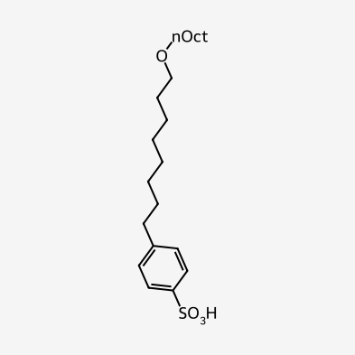 CCCCCCCCOCCCCCCCCc1ccc(S(=O)(=O)O)cc1